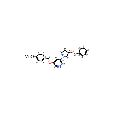 COc1ccc(COc2cncc(N3CCC(OCc4ccccc4)C3)c2)cc1